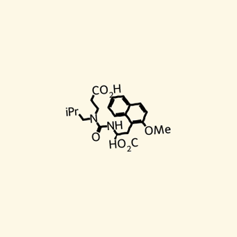 COc1ccc2ccccc2c1C[C@H](NC(=O)N(CCC(=O)O)CC(C)C)C(=O)O